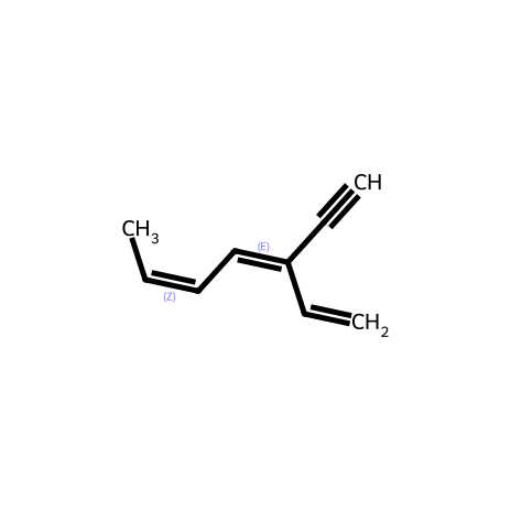 C#C/C(C=C)=C/C=C\C